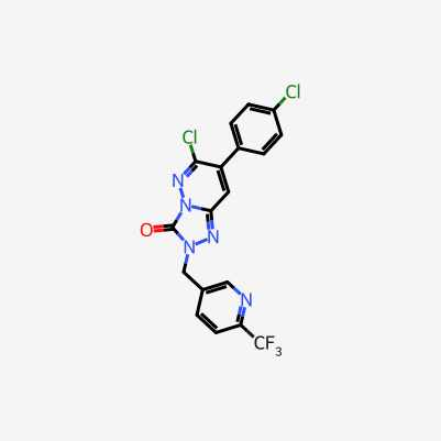 O=c1n(Cc2ccc(C(F)(F)F)nc2)nc2cc(-c3ccc(Cl)cc3)c(Cl)nn12